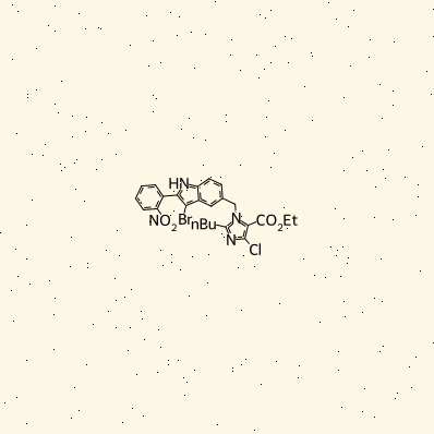 CCCCc1nc(Cl)c(C(=O)OCC)n1Cc1ccc2[nH]c(-c3ccccc3[N+](=O)[O-])c(Br)c2c1